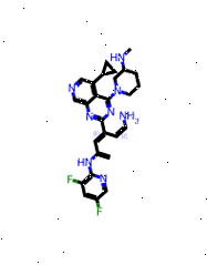 C=C(/C=C(\C=C/N)c1nc(N2CCCC(NC)C2)c2c(C3CC3)cncc2n1)Nc1ncc(F)cc1F